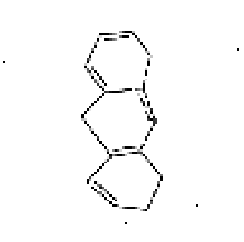 C1=CCC2=CC3=C(C=CCC3)CC2=C1